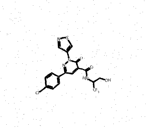 O=C(NC(CO)C(F)(F)F)c1cc(-c2ccc(Cl)cc2)nn(-c2cnsc2)c1=O